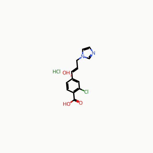 Cl.O.O=C(O)c1ccc(/C=C/Cn2ccnc2)cc1Cl